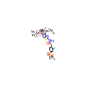 CC(C)[C@H]1c2nc(NC(=O)Cc3ccc(S(C)(=O)=O)cc3F)sc2CN1C(=O)OC(C)(C)C